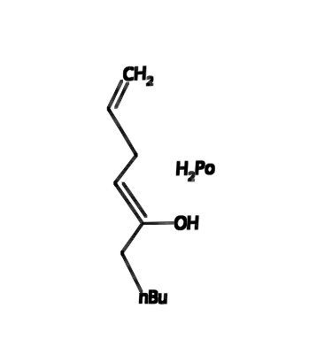 C=CCC=C(O)CCCCC.[PoH2]